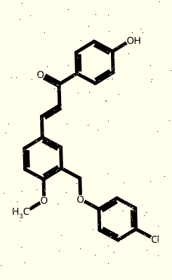 COc1ccc(/C=C/C(=O)c2ccc(O)cc2)cc1COc1ccc(Cl)cc1